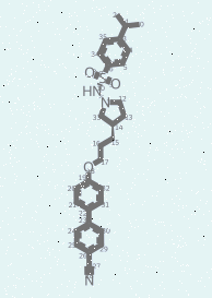 CC(C)c1ccc(S(=O)(=O)NN2CC[C@@H](CCCOc3ccc(-c4ccc(C#N)cc4)cc3)C2)cc1